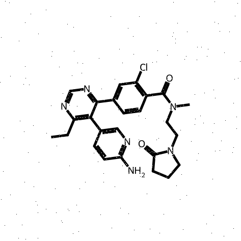 CCc1ncnc(-c2ccc(C(=O)N(C)CCN3CCCC3=O)c(Cl)c2)c1-c1ccc(N)nc1